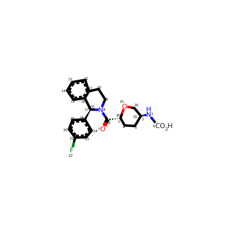 O=C(O)N[C@H]1CC[C@H](C(=O)N2CCc3ccccc3[C@@H]2c2ccc(F)cc2)OC1